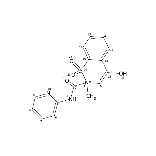 C[N+]1(C(=O)Nc2ccccn2)C=C(O)c2ccccc2S1(=O)=O